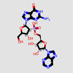 Nc1nc2c(ncn2[C@@H]2OC(CO)[C@@H](O)[C@H]2P(=O)(O)OC[C@H]2O[C@@H](n3cnc4cncnc43)[C@H](O)[C@@H]2O)c(=O)[nH]1